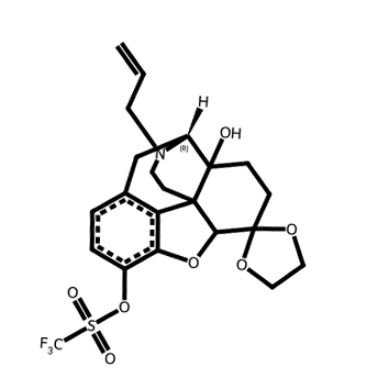 C=CCN1CCC23c4c5ccc(OS(=O)(=O)C(F)(F)F)c4OC2C2(CCC3(O)[C@H]1C5)OCCO2